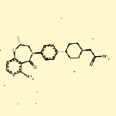 C[C@@H]1CN(c2ccc([C@H]3CC[C@H](CC(N)=O)CC3)cc2)C(=O)c2c(ccnc2N)O1